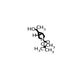 C[C@@H](O)C1C2CN(C(=O)OC(C)(C)C)C[C@@H]21